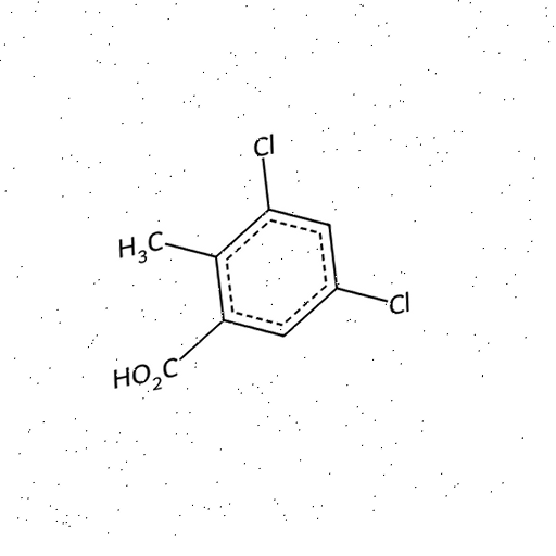 Cc1c(Cl)cc(Cl)cc1C(=O)O